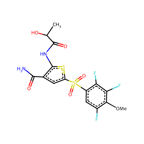 COc1c(F)cc(S(=O)(=O)c2cc(C(N)=O)c(NC(=O)C(C)O)s2)c(F)c1F